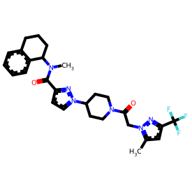 Cc1cc(C(F)(F)F)nn1CC(=O)N1CCC(n2ccc(C(=O)N(C)C3CCCc4ccccc43)n2)CC1